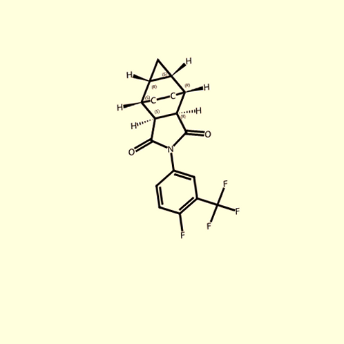 O=C1[C@@H]2[C@@H]3CC[C@@H]([C@@H]4C[C@@H]43)[C@@H]2C(=O)N1c1ccc(F)c(C(F)(F)F)c1